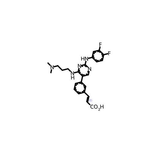 CN(C)CCCNc1nc(Nc2ccc(F)c(F)c2)ncc1-c1cccc(/C=C/C(=O)O)c1